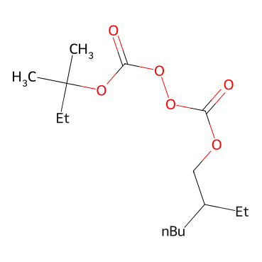 CCCCC(CC)COC(=O)OOC(=O)OC(C)(C)CC